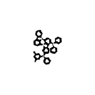 Cc1cc(C)cc(N(c2ccccc2)c2ccc3c4c(N(c5ccccc5)c5ccccc5)ccc5c4n(c3c2)c2cccc3c4c(n5c32)C=CCC4)c1